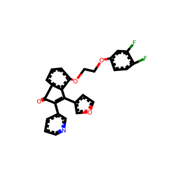 O=C1C(c2cccnc2)=C(c2ccoc2)c2c(OCCOc3ccc(F)c(F)c3)cccc21